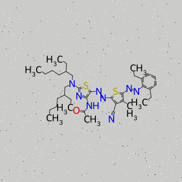 CCCCC(CC)CN(CC(CC)CCCC)c1nc(NC(C)=O)c(N=Nc2sc(N=Nc3c(CC)cccc3CC)c(C)c2C#N)s1